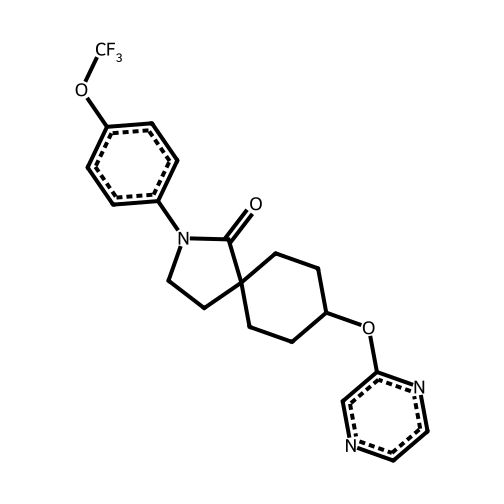 O=C1N(c2ccc(OC(F)(F)F)cc2)CCC12CCC(Oc1cnccn1)CC2